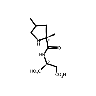 CC1CN[C@@](C)(C(=O)N[C@@H](CC(=O)O)C(=O)O)C1